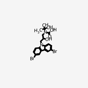 CC(C)(C)N(CC(O)Cn1c2ccc(Br)cc2c2cc(Br)ccc21)C(=O)O